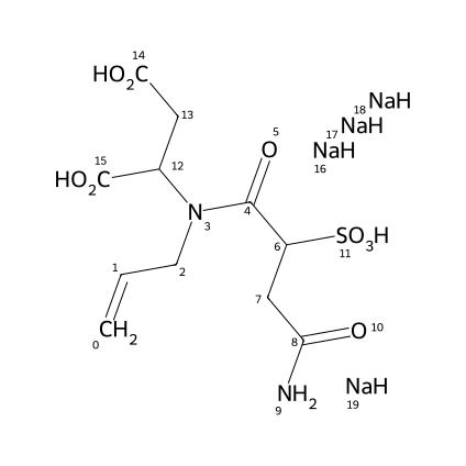 C=CCN(C(=O)C(CC(N)=O)S(=O)(=O)O)C(CC(=O)O)C(=O)O.[NaH].[NaH].[NaH].[NaH]